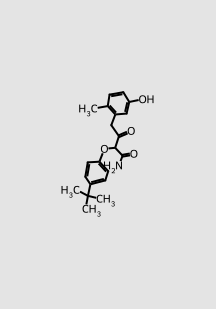 Cc1ccc(O)cc1CC(=O)C(Oc1ccc(C(C)(C)C)cc1)C(N)=O